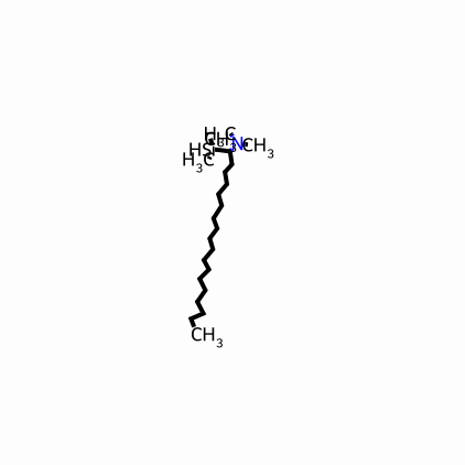 CCCCCCCCCCCCCCCCCC(N(C)C)[SiH](C)C